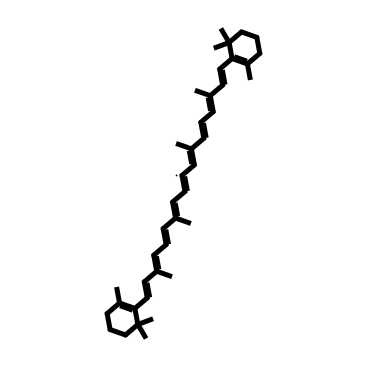 CC1=C(/C=C/C(C)=C/C=C/C(C)=C/[C]=C/C=C(C)/C=C/C=C(C)/C=C/C2=C(C)CCCC2(C)C)C(C)(C)CCC1